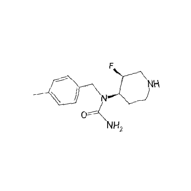 Cc1ccc(CN(C(N)=O)[C@@H]2CCNC[C@@H]2F)cc1